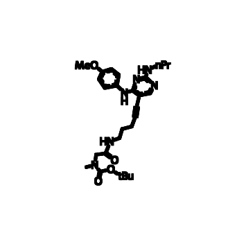 CCCNc1ncc(C#CCCCNC(=O)CN(C)C(=O)OC(C)(C)C)c(Nc2ccc(OC)cc2)n1